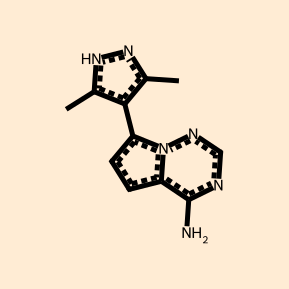 Cc1n[nH]c(C)c1-c1ccc2c(N)ncnn12